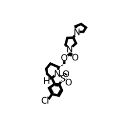 O=C(OC[C@H]1CCC[C@H]2c3cc(Cl)ccc3S(=O)(=O)N12)N1CCC(N2CCCC2)C1